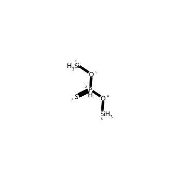 [SiH3]O[PH](=S)O[SiH3]